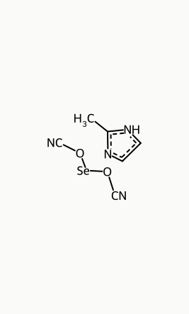 Cc1ncc[nH]1.N#CO[Se]OC#N